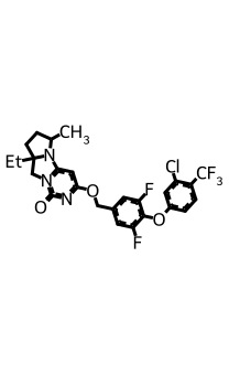 CCC12CCC(C)N1c1cc(OCc3cc(F)c(Oc4ccc(C(F)(F)F)c(Cl)c4)c(F)c3)nc(=O)n1C2